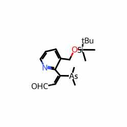 C[As](C)/C(=C/C=O)c1ncccc1CO[Si](C)(C)C(C)(C)C